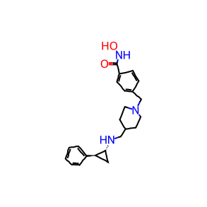 O=C(NO)c1ccc(CN2CCC(CN[C@@H]3C[C@H]3c3ccccc3)CC2)cc1